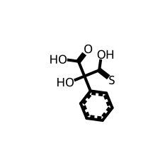 O=C(O)C(O)(C(O)=S)c1ccccc1